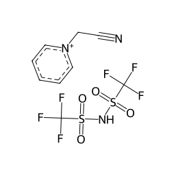 N#CC[n+]1ccccc1.O=S(=O)(NS(=O)(=O)C(F)(F)F)C(F)(F)F